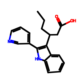 CCCC(CC(=O)O)c1c(-c2cccnc2)[nH]c2ccccc12